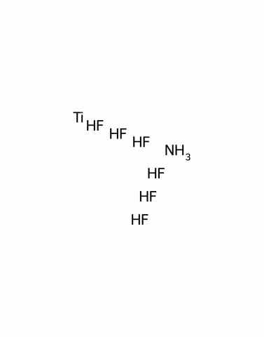 F.F.F.F.F.F.N.[Ti]